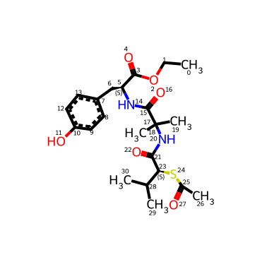 CCOC(=O)[C@H](Cc1ccc(O)cc1)NC(=O)C(C)(C)NC(=O)[C@@H](SC(C)=O)C(C)C